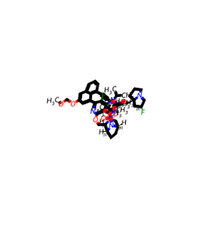 COCOc1cc(-c2nc3c4c(nc(OC[C@@]56CCCN5C[C@H](F)C6)nc4c2F)N2C[C@H]4CC[C@@H]([C@H]2CO3)N4C(=O)OC(C)(C)C)c2c(C#C[Si](C(C)C)(C(C)C)C(C)C)cccc2c1